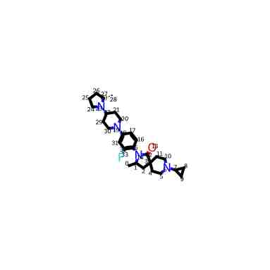 CC1CC2(CCN(C3CC3)CC2)C(=O)N1c1ccc(N2CCC(N3CCC[C@@H]3C)CC2)cc1F